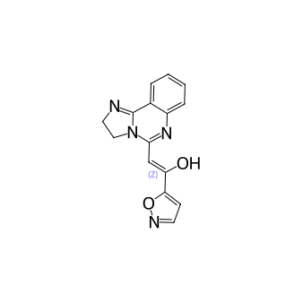 O/C(=C\C1=Nc2ccccc2C2=NCCN12)c1ccno1